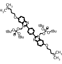 CN(C)CCCOc1ccc2nc(-c3ccc(-c4nc5ccc(OCCCN(C)C)cc5n4COP(=O)(OC(C)(C)C)OC(C)(C)C)cc3)n(COP(=O)(OC(C)(C)C)OC(C)(C)C)c2c1